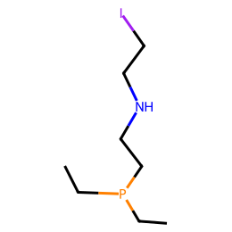 CCP(CC)CCNCCI